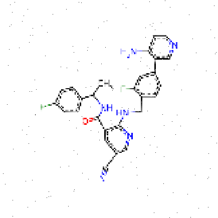 CC(NC(=O)c1cc(C#N)cnc1NCc1ccc(-c2cnccc2N)cc1F)c1ccc(F)cc1